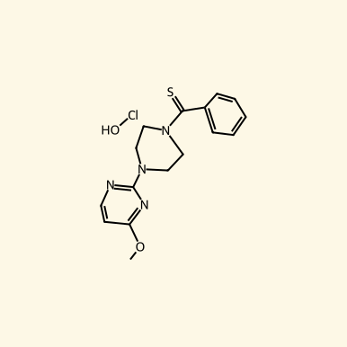 COc1ccnc(N2CCN(C(=S)c3ccccc3)CC2)n1.OCl